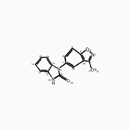 Cc1noc2ccc(-n3c(=O)[nH]c4ccccc43)cc12